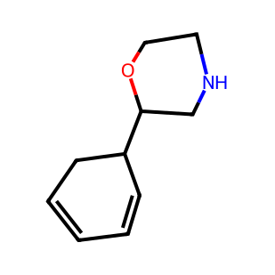 C1=CCC(C2CNCCO2)C=C1